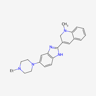 CCN1CCN(c2ccc3[nH]c(C4=Cc5ccccc5N(C)C4)nc3c2)CC1